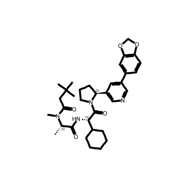 C[C@@H](C(=O)N[C@H](C(=O)N1CCC[C@H]1c1cncc(-c2ccc3c(c2)OCO3)c1)C1CCCCC1)N(C)C(=O)CC(C)(C)C